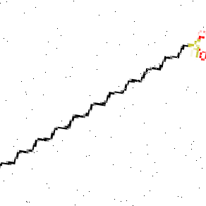 CCCCCCCCCCCCCCCCCCCCCC[SH](=O)=O